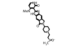 CNc1cc[nH]c(=O)c1-c1nc2cc3c(cc2[nH]1)C(=O)N(C1CCN(CC[S+](C)[O-])CC1)C3